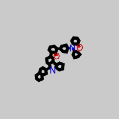 c1ccc2c(c1)Oc1ccccc1N2c1ccc(-c2cccc3c2oc2c3ccc3c(-c4ccc5ccccc5c4)nc4ccccc4c32)cc1